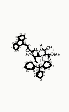 COC(=O)C(NC(=O)C(CSC(c1ccccc1)(c1ccccc1)c1ccccc1)NC(=O)OCC1c2ccccc2-c2ccccc21)C(C)O